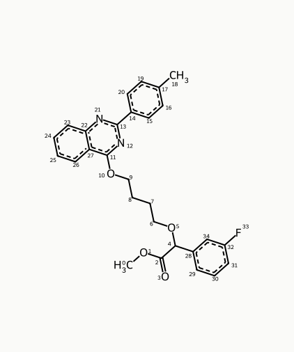 COC(=O)C(OCCCCOc1nc(-c2ccc(C)cc2)nc2ccccc12)c1cccc(F)c1